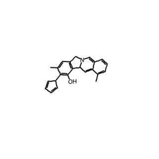 Cc1cc2c(c(O)c1C1C=CC=C1)C1C=c3c(C)cccc3=CN1C2